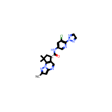 CC1(C)C[C@H](C(=O)Nc2cnc(-n3nccn3)c(Cl)c2)c2cnc3cc(C#N)nn3c21